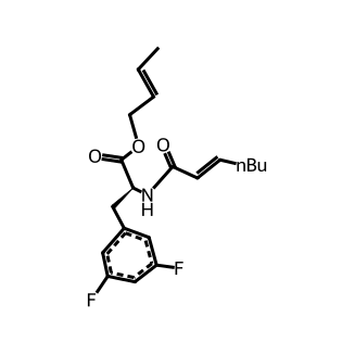 C/C=C/COC(=O)[C@H](Cc1cc(F)cc(F)c1)NC(=O)/C=C/CCCC